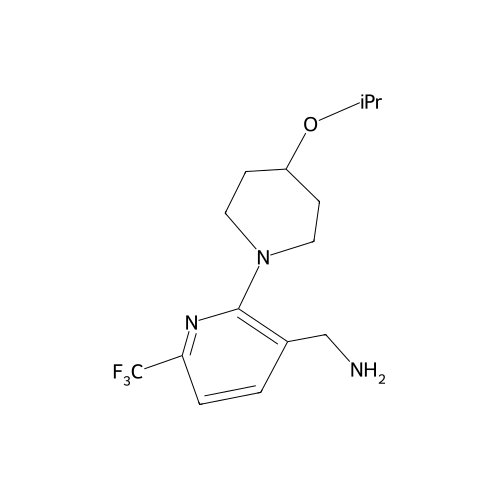 CC(C)OC1CCN(c2nc(C(F)(F)F)ccc2CN)CC1